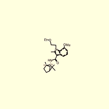 CCOCCn1c(C)c(C(=O)N[C@@H]2C(C)(C)C3CC[C@@]2(C)C3)c2cccc(OC)c21